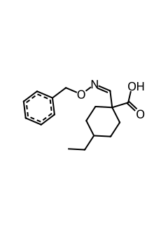 CCC1CCC(/C=N\OCc2ccccc2)(C(=O)O)CC1